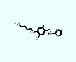 NCCCCNc1cc(F)c(ONc2nccs2)cc1Cl